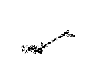 Cc1nc(NC(=O)c2cccc(NCCOCCOCCOCCOCCC(=O)OC(C)(C)C)c2C)sc1C